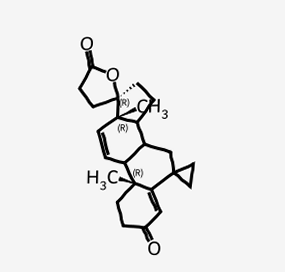 C[C@]12CCC(=O)C=C1C1(CC1)CC1C2C=C[C@@]2(C)C1CC[C@@]21CCC(=O)O1